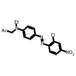 CCN(CC(C)=O)c1ccc(/N=N/c2ccc([N+](=O)[O-])cc2Cl)cc1